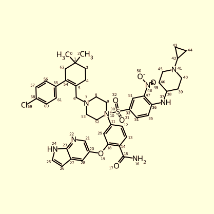 CC1(C)CCC(CN2CC[N+](c3ccc(C(N)=O)c(Oc4cnc5[nH]ccc5c4)c3)(S(=O)(=O)c3ccc(NC4CCN(C5CC5)CC4)c([N+](=O)[O-])c3)CC2)=C(c2ccc(Cl)cc2)C1